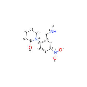 CNCc1cc([N+](=O)[O-])ccc1N1CCCCC1=O